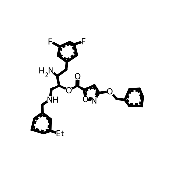 CCc1cccc(CNCC(OC(=O)c2cc(OCc3ccccc3)no2)C(N)Cc2cc(F)cc(F)c2)c1